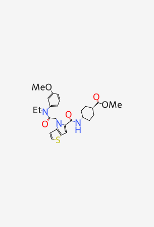 CCN(C(=O)Cn1c(C(=O)N[C@H]2CC[C@H](C(=O)OC)CC2)cc2sccc21)c1cccc(OC)c1